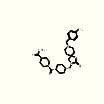 CNC(=O)C1CCN(C(=O)[C@H]2CC[C@H](CN3CC4(CCN(Cc5ccc(C(F)(F)F)cc5)CC4)OC3=O)CC2)CC1